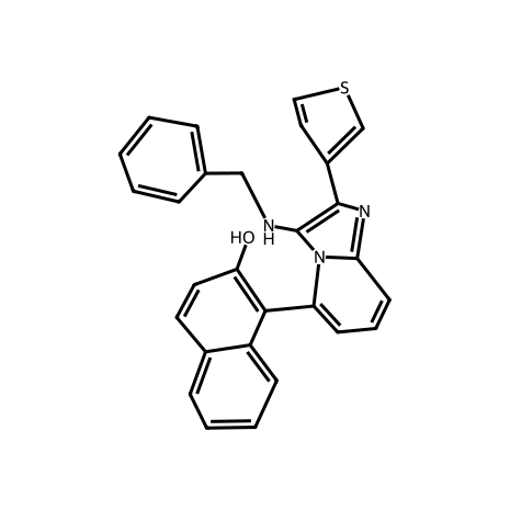 Oc1ccc2ccccc2c1-c1cccc2nc(-c3ccsc3)c(NCc3ccccc3)n12